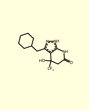 O=C1CC(O)(C(F)(F)F)c2c(CC3CCCCC3)n[nH]c2N1